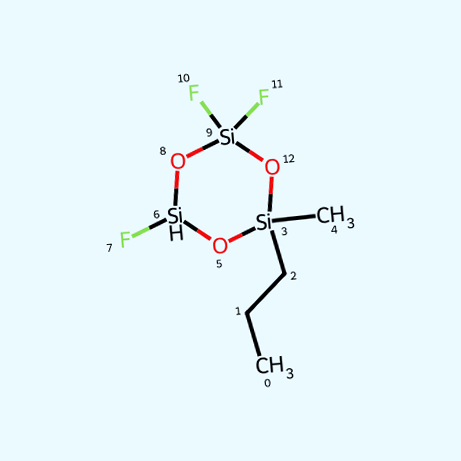 CCC[Si]1(C)O[SiH](F)O[Si](F)(F)O1